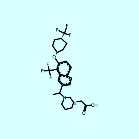 CC(c1ccc2ccc(O[C@H]3CC[C@@H](C(F)(F)F)CC3)c(C(F)(F)F)c2c1)N1CCC[C@H](CC(=O)O)C1